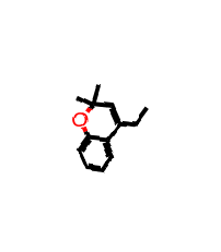 CCC1=CC(C)(C)Oc2ccccc21